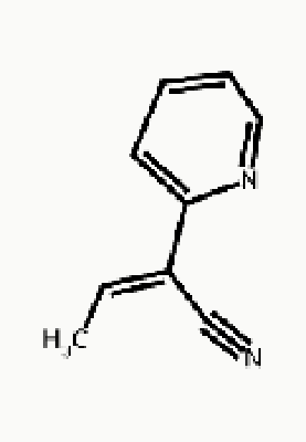 CC=C(C#N)c1ccccn1